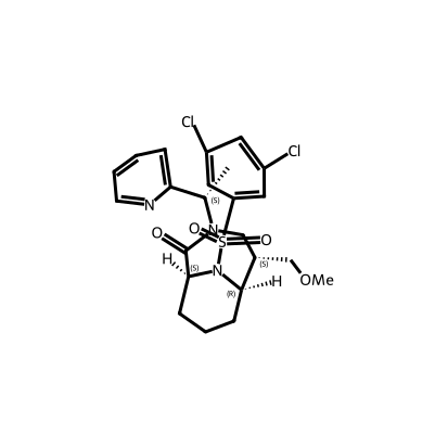 COC[C@H]1CN([C@@H](C)c2ccccn2)C(=O)[C@@H]2CCC[C@H]1N2S(=O)(=O)c1cc(Cl)cc(Cl)c1